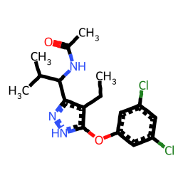 CCc1c(C(NC(C)=O)C(C)C)n[nH]c1Oc1cc(Cl)cc(Cl)c1